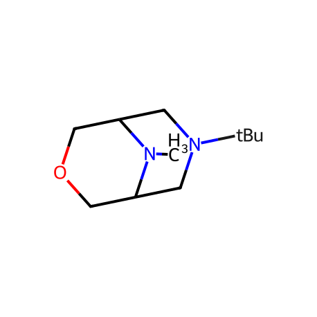 CN1C2COCC1CN(C(C)(C)C)C2